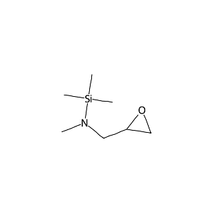 CN(CC1CO1)[Si](C)(C)C